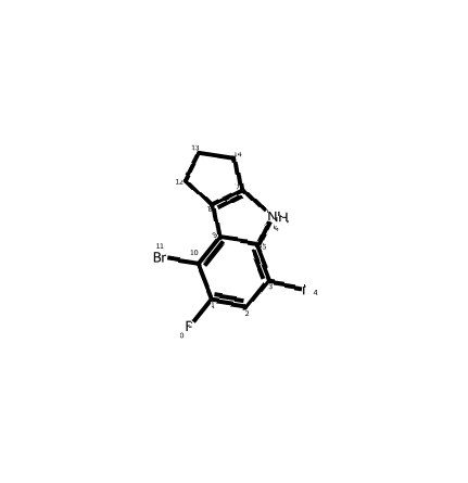 Fc1cc(I)c2[nH]c3c(c2c1Br)CCC3